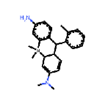 Cc1ccccc1C1c2ccc(N)cc2[Si](C)(C)C2C=C(N(C)C)C=CC12